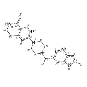 Cc1cc2ncc(C(C)N3CCN(c4ncc5c(n4)CCNC5=O)CC3)cc2o1